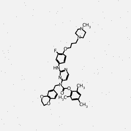 Cc1cc(C)c(OC(=O)N(Cc2ccc3c(c2)OCCO3)c2ccnc(Nc3ccc(OCCCN4CCN(C)CC4)c(F)c3)n2)c(C)c1